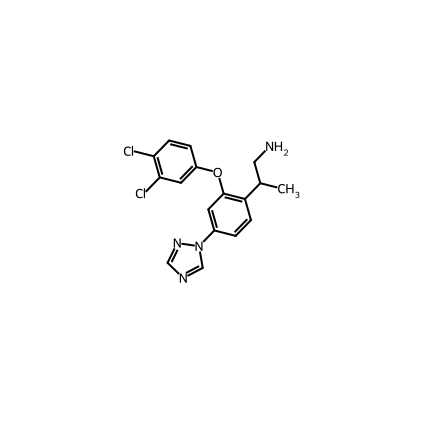 CC(CN)c1ccc(-n2cncn2)cc1Oc1ccc(Cl)c(Cl)c1